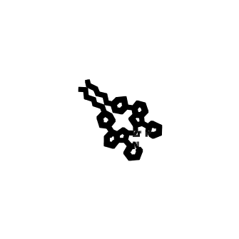 CCCCCCc1ccc(-c2cccc3c2C=[C]([Zr][C]2=Cc4c(-c5ccc(CCCCCC)cc5)cccc4C2c2ccccn2)C3c2ccccn2)cc1